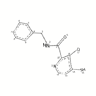 O=C(NCc1ccccc1)c1nccc(S)c1Cl